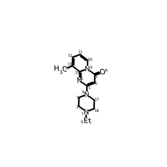 CCN1CCN(c2cc(=O)n3cccc(C)c3n2)CC1